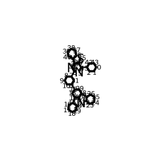 c1ccc(-c2nc(-c3cccc(-c4cc5c6ccccc6n6c7ccccc7c(c4)c56)c3)nc3c2sc2ccccc23)cc1